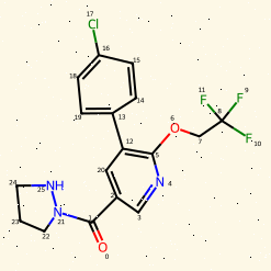 O=C(c1cnc(OCC(F)(F)F)c(-c2ccc(Cl)cc2)c1)N1CCCN1